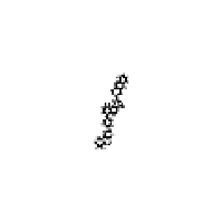 c1ccc2cc3cc(-c4cnc5ccc6c(-c7ccc(-c8ccc9oc%10ccccc%10c9c8)cc7)ccnc6c5n4)ccc3cc2c1